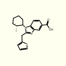 C[C@@H]1CCCC[C@H]1n1c(Cc2cccs2)nc2cc(C(=O)O)ccc21